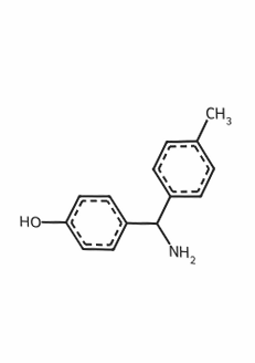 Cc1ccc(C(N)c2ccc(O)cc2)cc1